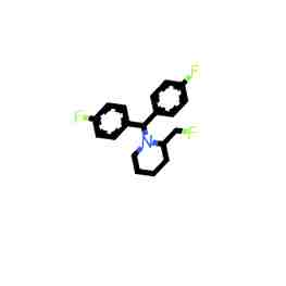 FCC1CCCCN1C(c1ccc(F)cc1)c1ccc(F)cc1